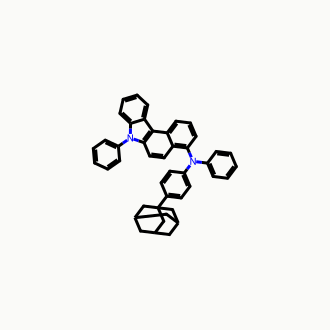 c1ccc(N(c2ccc(C34CC5CC(CC(C5)C3)C4)cc2)c2cccc3c2ccc2c3c3ccccc3n2-c2ccccc2)cc1